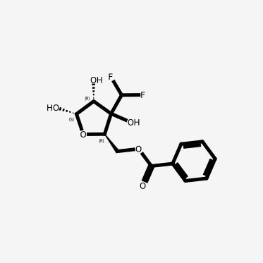 O=C(OC[C@H]1O[C@H](O)[C@H](O)C1(O)C(F)F)c1ccccc1